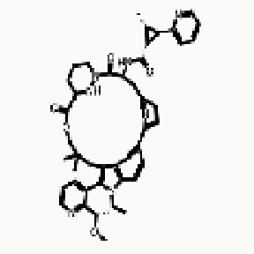 CCn1c(-c2cccnc2[C@H](C)OC)c2c3cc(ccc31)C1=CCC(=N1)C[C@H](NC(=O)[C@@H]1[C@H](C)[C@H]1c1ccccn1)C(=O)N1CCC[C@H](N1)C(=O)OCC(C)(C)C2